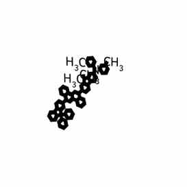 Cc1cccc(N(c2cccc(C)c2)c2ccc3c(c2)C(C)(C)c2cc(-c4cc5c6ccccc6c(-c6ccc7c(c6)C(c6ccccc6)(c6ccccc6)c6ccccc6-7)cc5c5ccccc45)ccc2-3)c1